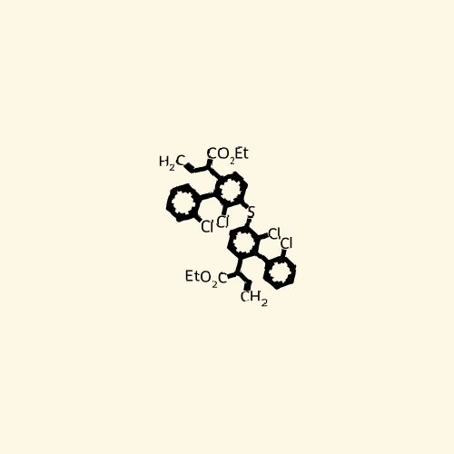 C=CC(C(=O)OCC)c1ccc(Sc2ccc(C(C=C)C(=O)OCC)c(-c3ccccc3Cl)c2Cl)c(Cl)c1-c1ccccc1Cl